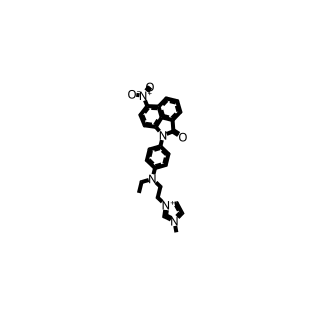 CCN(CC[n+]1ccn(C)c1)c1ccc(N2C(=O)c3cccc4c([N+](=O)[O-])ccc2c34)cc1